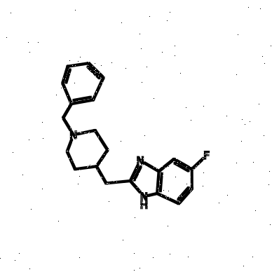 Fc1ccc2[nH]c(CC3CCN(Cc4ccccc4)CC3)nc2c1